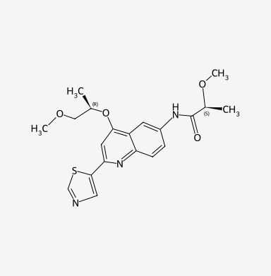 COC[C@@H](C)Oc1cc(-c2cncs2)nc2ccc(NC(=O)[C@H](C)OC)cc12